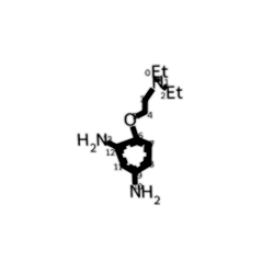 CCN(CC)CCOc1ccc(N)cc1N